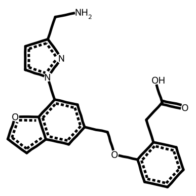 NCc1ccn(-c2cc(COc3ccccc3CC(=O)O)cc3ccoc23)n1